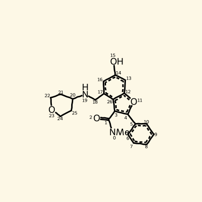 CNC(=O)c1c(-c2ccccc2)oc2cc(O)cc(CNC3CCOCC3)c12